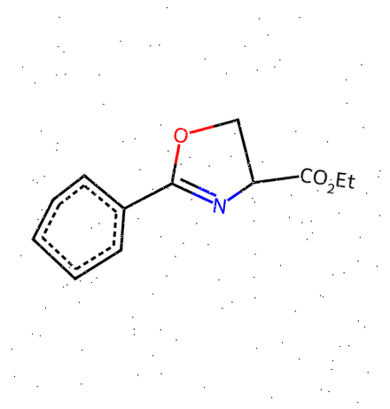 CCOC(=O)C1COC(c2ccccc2)=N1